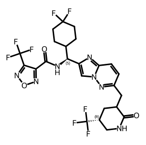 O=C(N[C@H](c1cn2nc(CC3C[C@@H](C(F)(F)F)CNC3=O)ccc2n1)C1CCC(F)(F)CC1)c1nonc1C(F)(F)F